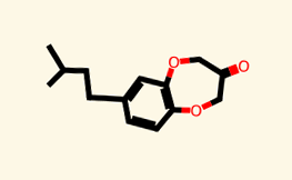 CC(C)CCc1ccc2c(c1)OCC(=O)CO2